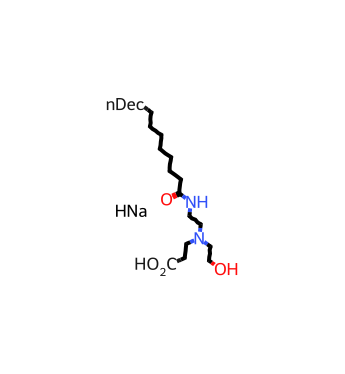 CCCCCCCCCCCCCCCCCC(=O)NCCN(CCO)CCC(=O)O.[NaH]